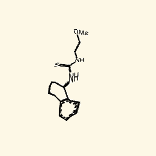 COCCNC(=S)NC1CCc2ccccc21